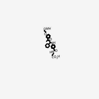 COCCOc1ccc2oc(C(Nc3ccc(C(=O)NCCC(=O)O)cc3)C3CCCCC3)c(C)c2c1